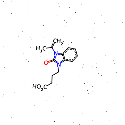 C=C(C)n1c(=O)n(CCCC(=O)O)c2ccccc21